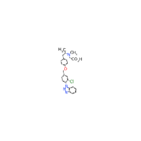 C[C@H](Cc1ccc(OCc2ccc(-n3nnc4ccccc43)c(Cl)c2)cc1)N(C)CC(=O)O